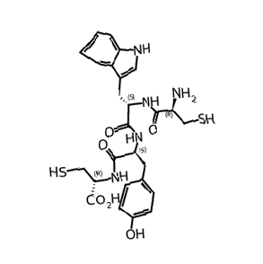 N[C@@H](CS)C(=O)N[C@@H](Cc1c[nH]c2ccccc12)C(=O)N[C@@H](Cc1ccc(O)cc1)C(=O)N[C@@H](CS)C(=O)O